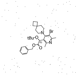 Cc1nc(C)c([C@H](OC(C)(C)C)C(=O)OCc2ccccc2)c(N2CCC3(CCC3)CC2)c1Br